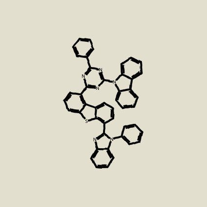 c1ccc(-c2nc(-c3cccc4sc5c(-c6nc7ccccc7n6-c6ccccc6)cccc5c34)nc(-n3c4ccccc4c4ccccc43)n2)cc1